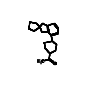 CC(=O)C1CCC(c2cccc3c2CC2(CCCC2)C3)CC1